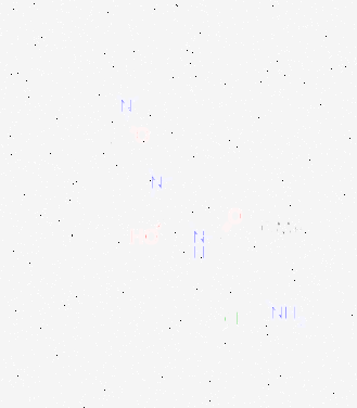 COc1cc(N)c(Cl)cc1C(=O)N[C@H]1CCN(C(C)CC(C(=O)N(C)C)(c2ccccc2)c2ccccc2)C[C@@H]1O